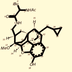 CCC(C)C(NC(C)=O)C(=O)NC[C@H]1C[C@@]23CC[C@]1(OC)[C@@H]1Oc4c(O)ccc5c4[C@@]12CCN(CC1CC1)[C@@H]3C5